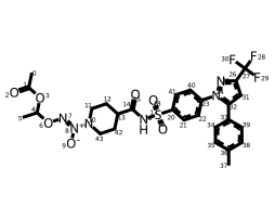 CC(=O)OC(C)ON=[N+]([O-])N1CCC(C(=O)NS(=O)(=O)c2ccc(-n3nc(C(F)(F)F)cc3-c3ccc(C)cc3)cc2)CC1